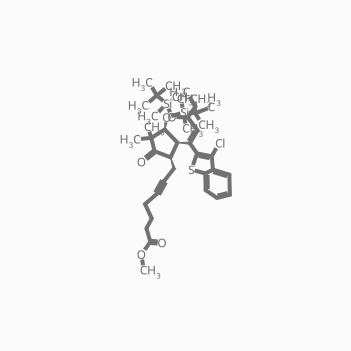 CCC(/C=C(/c1sc2ccccc2c1Cl)[C@H]1[C@@H](CC#CCCCC(=O)OC)C(=O)C(C)(C)[C@H]1O[Si](C)(C)C(C)(C)C)O[Si](C)(C)C(C)(C)C